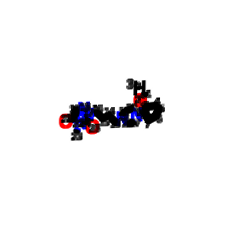 [3H]COc1ccccc1N1CCN(CCCCn2ncc(=O)n(C)c2=O)CC1